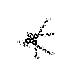 CN(C)c1ccc(C(c2ccc(N(CCOCCO)CCOCCOCCO)cc2)(c2ccc(N(CCOCCO)CCOCCOCCO)cc2)N2CCOCC2)cc1